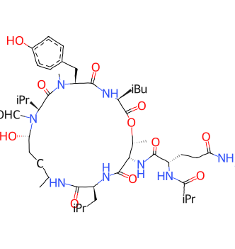 CCC(C)[C@@H]1NC(=O)[C@H](Cc2ccc(O)cc2)N(C)C(=O)[C@H](C(C)C)N(C=O)[C@@H](O)CCC(C)NC(=O)[C@H](CC(C)C)NC(=O)[C@@H](NC(=O)[C@H](CCC(N)=O)NC(=O)C(C)C)[C@@H](C)OC1=O